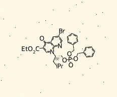 CCOC(=O)c1cn([C@H](COP(=O)(OCc2ccccc2)OCc2ccccc2)CC(C)C)c2ncc(Br)cc2c1=O